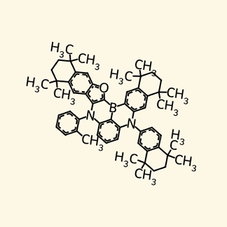 Cc1ccccc1N1c2cccc3c2B(c2cc4c(cc2N3c2ccc3c(c2)C(C)(C)CCC3(C)C)C(C)(C)CCC4(C)C)c2oc3cc4c(cc3c21)C(C)(C)CCC4(C)C